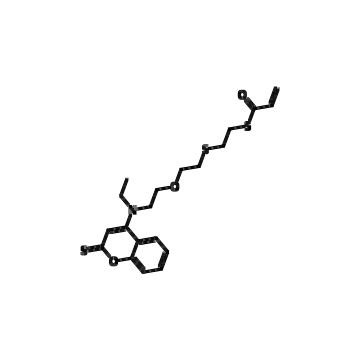 C=CC(=O)SCCSCCOCCN(CC)c1cc(=S)oc2ccccc12